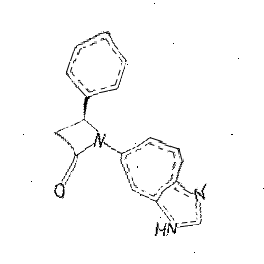 O=C1C[C@@H](c2ccccc2)N1c1ccc2nc[nH]c2c1